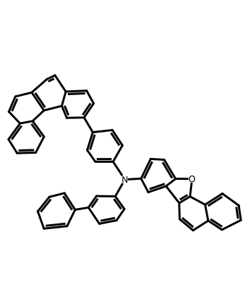 c1ccc(-c2cccc(N(c3ccc(-c4ccc5ccc6ccc7ccccc7c6c5c4)cc3)c3ccc4oc5c6ccccc6ccc5c4c3)c2)cc1